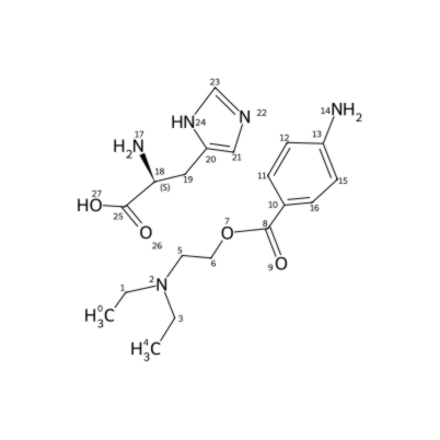 CCN(CC)CCOC(=O)c1ccc(N)cc1.N[C@@H](Cc1cnc[nH]1)C(=O)O